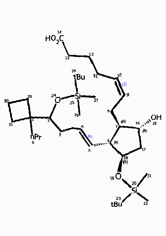 CCCC1(C(C/C=C/[C@@H]2[C@@H](C/C=C\CCCC(=O)O)[C@H](O)C[C@H]2O[Si](C)(C)C(C)(C)C)O[Si](C)(C)C(C)(C)C)CCC1